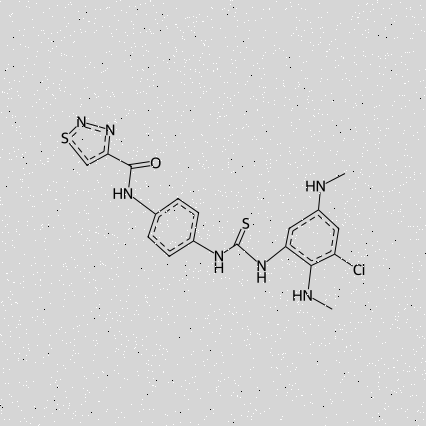 CNc1cc(Cl)c(NC)c(NC(=S)Nc2ccc(NC(=O)c3csnn3)cc2)c1